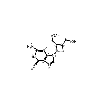 CC(=O)OC[C@H]1[C@@H](CO)C[C@H]1n1cnc2c(=O)[nH]c(N)nc21